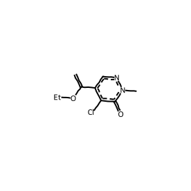 C=C(OCC)c1cnn(C)c(=O)c1Cl